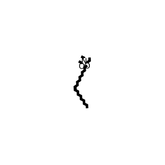 CCCCCCCC/C=C\CCCCCCCC(=O)OC(CC)N(CC)CC